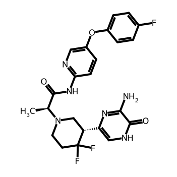 C[C@@H](C(=O)Nc1ccc(Oc2ccc(F)cc2)cn1)N1CCC(F)(F)[C@@H](c2c[nH]c(=O)c(N)n2)C1